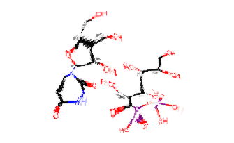 O=C([C@H](O)[C@@H](O)[C@H](O)[C@H](O)CO)P(=O)(O)OP(=O)(O)O.O=c1ccn([C@@H]2O[C@H](CO)[C@@H](O)[C@H]2O)c(=O)[nH]1